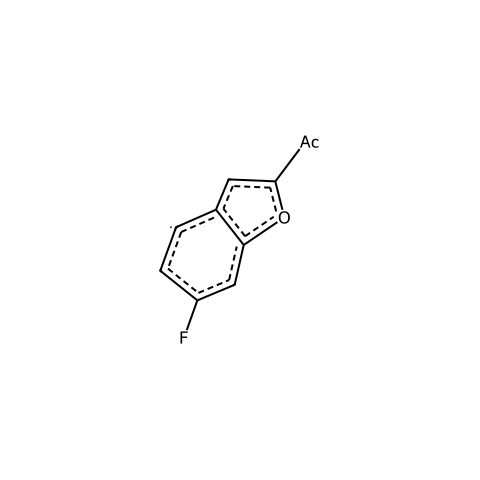 CC(=O)c1cc2[c]cc(F)cc2o1